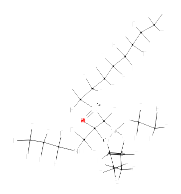 O=S(=O)(C(F)(F)C(F)(F)C(F)(F)C(F)(F)C(F)(F)C(F)(F)C(F)(F)C(F)(F)F)C(F)(C(F)(F)C(F)(F)NC(F)(F)C(F)(F)C(F)(F)F)[Si](OC(F)(F)C(F)(F)F)(OC(F)(F)C(F)(F)F)OC(F)(F)C(F)(F)F